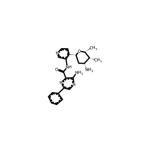 C[C@@H]1[C@H](N)C[C@H](c2ccncc2NC(=O)c2nc(-c3ccccc3)cnc2N)O[C@@H]1C